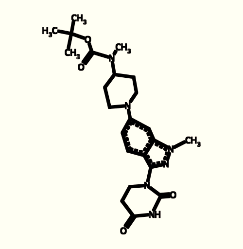 CN(C(=O)OC(C)(C)C)C1CCN(c2ccc3c(N4CCC(=O)NC4=O)nn(C)c3c2)CC1